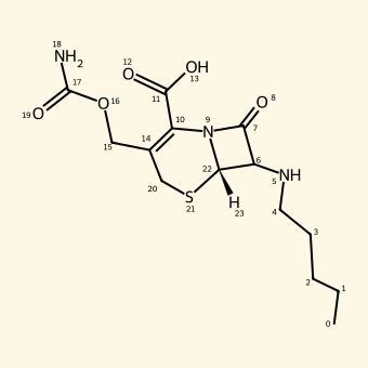 CCCCCNC1C(=O)N2C(C(=O)O)=C(COC(N)=O)CS[C@@H]12